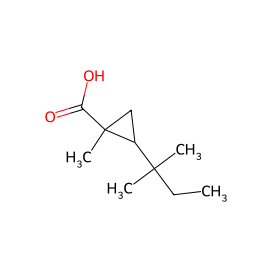 CCC(C)(C)C1CC1(C)C(=O)O